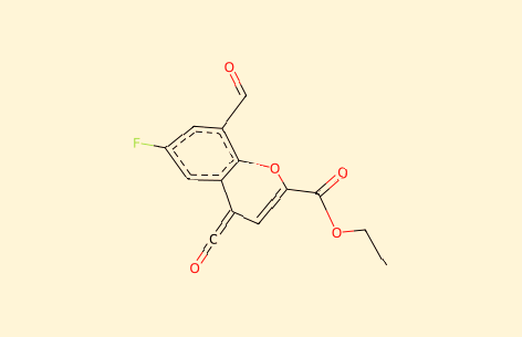 CCOC(=O)C1=CC(=C=O)c2cc(F)cc(C=O)c2O1